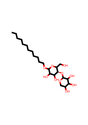 CCCCCCCCCCCCOC1OC(CO)[C@@H](OC2OCC(O)C(O)C2O)C(O)C1O